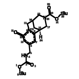 CC(C)(C)OC(=O)NCc1cc2n(c(=O)c1)CC1C[C@H]2CN(C(=O)OC(C)(C)C)C1